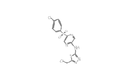 O=S(=O)(c1ccc(Cl)cc1)c1cnc(Nc2nnc(CCl)s2)cn1